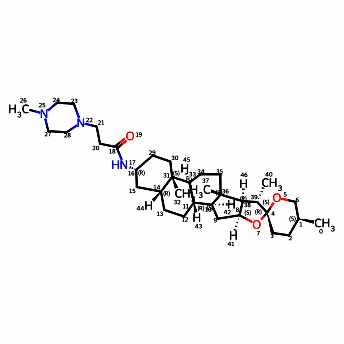 C[C@H]1CC[C@@]2(OC1)O[C@H]1C[C@H]3[C@@H]4CC[C@@H]5C[C@H](NC(=O)CCN6CCN(C)CC6)CC[C@]5(C)[C@H]4CC[C@]3(C)[C@H]1[C@@H]2C